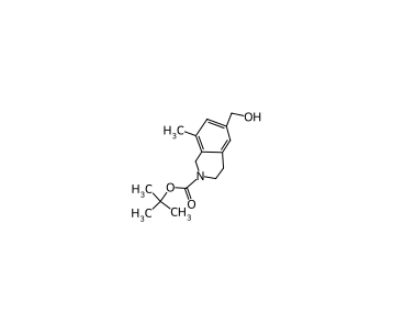 Cc1cc(CO)cc2c1CN(C(=O)OC(C)(C)C)CC2